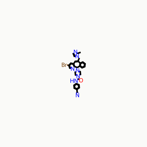 Cc1nccn1CC1=Cc2cc(Br)cnc2C(N2CCN(C(=O)Nc3ccc(C#N)cc3)CC2)c2ccccc21